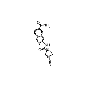 N#CN1CC[C@H](C(=O)Nc2cc3cc(C(N)=O)ccc3cn2)C1